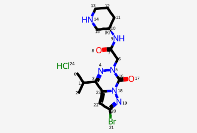 CC(C)c1nn(CC(=O)N[C@@H]2CCCNC2)c(=O)n2nc(Br)cc12.Cl